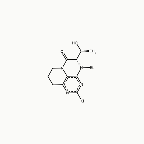 CCN1c2nc(Cl)nc3c2N(CCC3)C(=O)[C@@H]1[C@H](C)O